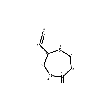 O=[C]C1CONCCS1